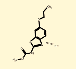 CCCOc1ccc2nc(NC(=O)OC)sc2c1.[O-2].[O-2].[Ti+4]